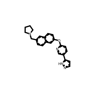 c1cc(-c2ccc(Oc3ccc4cc(CN5CCCC5)ccc4c3)nc2)[nH]n1